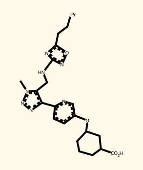 CC(C)CCc1nc(NCc2c(-c3ccc(OC4CCCC(C(=O)O)C4)cn3)nnn2C)no1